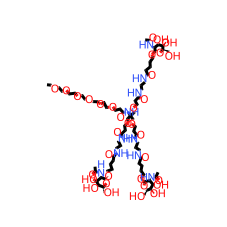 CCOCCOCCOCCOCCOCCOCCC(=O)NC(COCCC(=O)NCCCNC(=O)CCCCOC1O[C@H](CO)[C@H](O)C(O)[C@H]1NC(C)=O)(COCCC(=O)NCCCNC(=O)CCCCO[C@@H]1O[C@H](CO)[C@H](O)[C@H](O)[C@H]1NC(C)=O)COCCC(=O)NCCCNC(=O)CCCCO[C@@H]1O[C@H](CO)[C@H](O)C(O)[C@H]1NC(C)=O